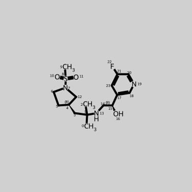 CC(C)(C[C@H]1CCN(S(C)(=O)=O)C1)NC[C@H](O)c1cncc(F)c1